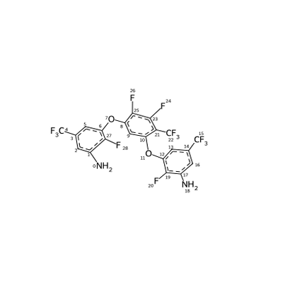 Nc1cc(C(F)(F)F)cc(Oc2cc(Oc3cc(C(F)(F)F)cc(N)c3F)c(C(F)(F)F)c(F)c2F)c1F